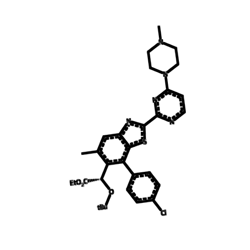 CCOC(=O)[C@@H](OC(C)(C)C)c1c(C)cc2nc(-c3nccc(N4CCN(C)CC4)n3)sc2c1-c1ccc(Cl)cc1